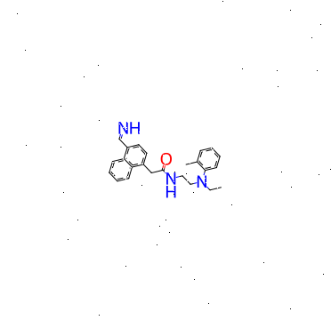 CCN(CCNC(=O)Cc1ccc(C=N)c2ccccc12)c1ccccc1C